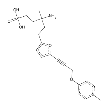 Cc1ccc(OCC#Cc2ccc(CCC(C)(N)CCP(=O)(O)O)o2)cc1